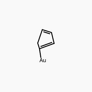 [Au][C]1=CC=CC1